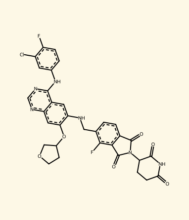 O=C1CCC(N2C(=O)c3ccc(CNc4cc5c(Nc6ccc(F)c(Cl)c6)ncnc5cc4OC4CCOC4)c(F)c3C2=O)C(=O)N1